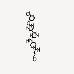 CN(C)C(/C=C/C=O)N1CCC(Nc2cncc(-c3cnc(Oc4cccc(Cl)c4)nc3)n2)CC1